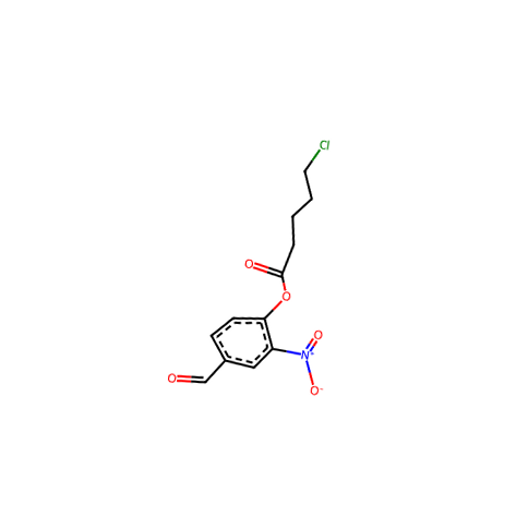 O=Cc1ccc(OC(=O)CCCCCl)c([N+](=O)[O-])c1